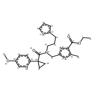 CCOC(=O)c1nc(CN(CCCc2cccs2)C(=O)C2(c3ccc(OC)cn3)CC2)sc1C